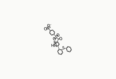 O=C(c1cc(-c2ccccc2Sc2ccccc2)[nH]n1)S(=O)(=O)c1ccc([N+](=O)[O-])cc1